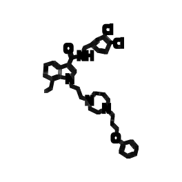 CCc1cccc2c(C(=O)NCc3ccc(Cl)c(Cl)c3)cn(CCCN3CCCN(CCCOc4ccccc4)CC3)c12